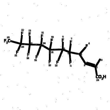 CC(=CC(F)C(F)(F)C(F)(F)C(F)(F)C(F)(F)C(F)(F)C(F)(F)C(F)(F)F)C(=O)O